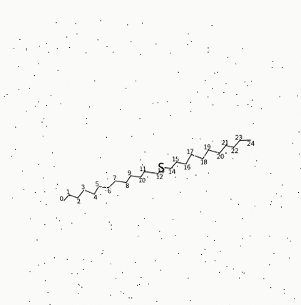 CCCCCCCCCCCC[CH]SCCCCCCCCCCC